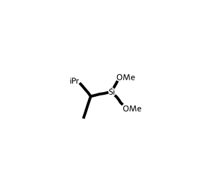 CO[Si](OC)C(C)C(C)C